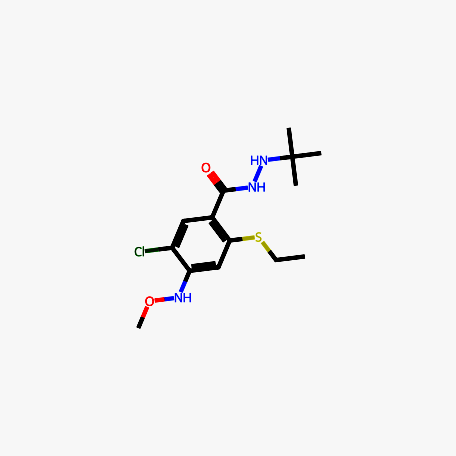 CCSc1cc(NOC)c(Cl)cc1C(=O)NNC(C)(C)C